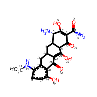 NC(=O)C1=C(O)[C@@H](N)C2CC3Cc4c(NC(=O)O)ccc(O)c4C(=O)C3=C(O)C2C1=O